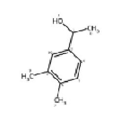 C[C](O)c1ccc(C)c(C)c1